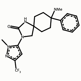 CNC1(c2ccccc2)CCC2(CC1)CN(c1cc(C(F)(F)F)nn1C)C(=O)N2